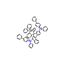 c1ccc(-c2ccc(N(c3ccccc3)c3ccc4c(c3)C3(c5ccccc5[Si](c5ccccc5)(c5ccccc5)c5ccccc53)c3cc(N(c5ccccc5)c5ccc(-c6ccccc6)cc5)c5ccccc5c3-4)cc2)cc1